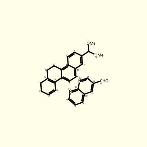 COC(OC)c1ccc2c3c(ccc2c1)C1=C(CCC=C1)CC3.O=Cc1cnc2ncccc2c1